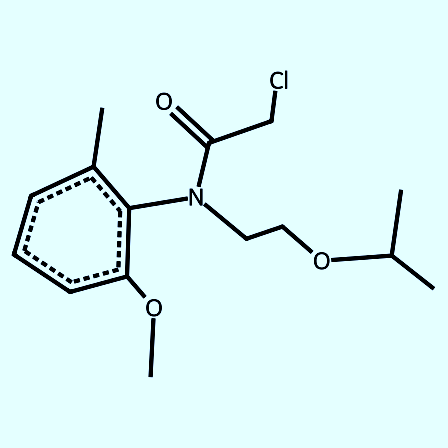 COc1cccc(C)c1N(CCOC(C)C)C(=O)CCl